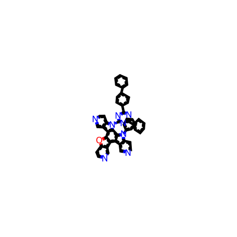 c1ccc(-c2ccc(-c3nc(-c4ccccc4)nc(-n4c5ccncc5c5c6oc7ccncc7c6c6c7cnccc7n(-c7ccccc7)c6c54)n3)cc2)cc1